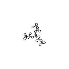 c1ccc(N(c2cccc(-c3cc(-c4cccc(N(c5ccccc5)c5ccc6c7ccccc7n(-c7ccccc7)c6c5)c4)nc(-c4cccc(N(c5ccccc5)c5ccc6c7ccccc7n(-c7ccccc7)c6c5)c4)n3)c2)c2ccc3c4ccccc4n(-c4ccccc4)c3c2)cc1